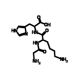 NCCCCC(NC(=O)CN)C(=O)NC(Cc1c[nH]cn1)C(=O)O